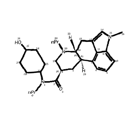 CCCN(C(=O)[C@@H]1C[C@@H]2c3cccc4c3c(cn4C)C[C@H]2N(CCC)C1)C1CCC(O)CC1